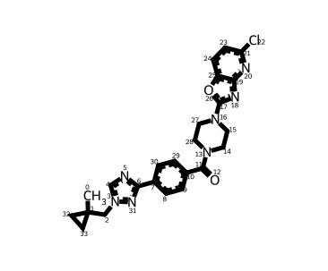 CC1(Cn2cnc(-c3ccc(C(=O)N4CCN(c5nc6nc(Cl)ccc6o5)CC4)cc3)n2)CC1